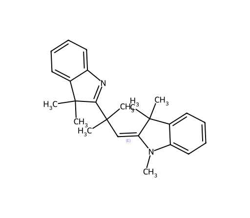 CN1/C(=C/C(C)(C)C2=Nc3ccccc3C2(C)C)C(C)(C)c2ccccc21